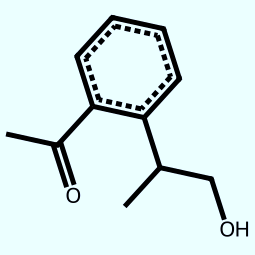 CC(=O)c1ccccc1C(C)CO